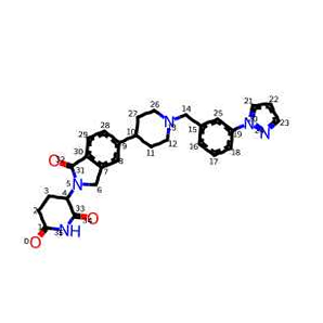 O=C1CCC(N2Cc3cc(C4CCN(Cc5cccc(-n6cccn6)c5)CC4)ccc3C2=O)C(=O)N1